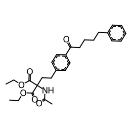 CCOC(=O)C(CCc1ccc(C(=O)CCCCc2ccccc2)cc1)(NC(C)=O)C(=O)OCC